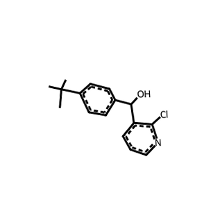 CC(C)(C)c1ccc(C(O)c2cccnc2Cl)cc1